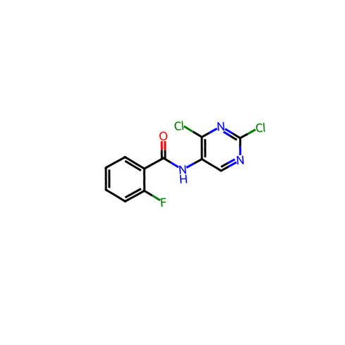 O=C(Nc1cnc(Cl)nc1Cl)c1ccccc1F